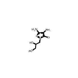 CCc1c(N)c(N)nn1CC(O)CO